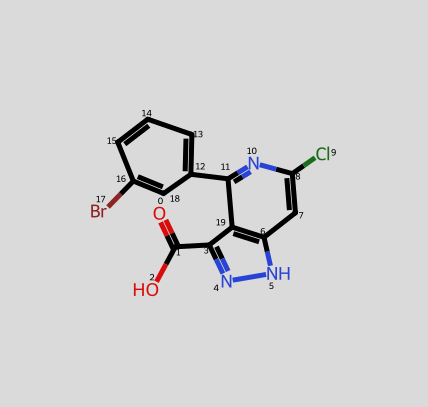 O=C(O)c1n[nH]c2cc(Cl)nc(-c3cccc(Br)c3)c12